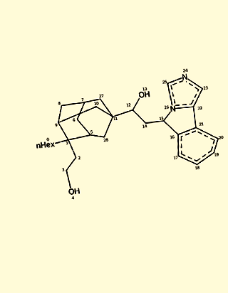 CCCCCCC1(CCO)C2CC3CC1CC(C(O)CC1c4ccccc4-c4cncn41)(C3)C2